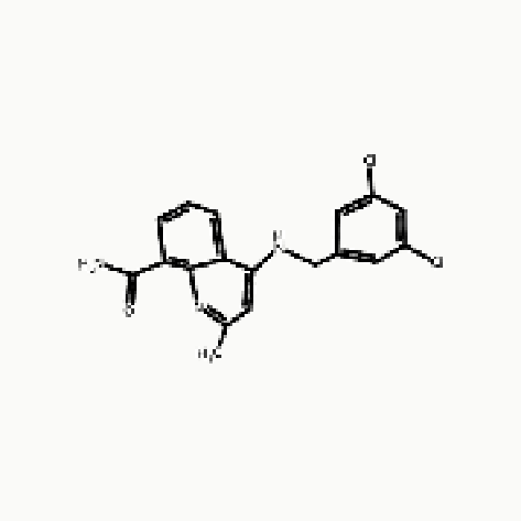 Cc1cc(NCc2cc(Cl)cc(Cl)c2)c2cccc(C(N)=O)c2n1